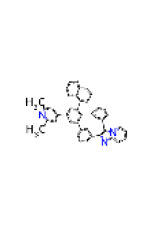 Cc1cc(-c2cc(-c3cccc(-c4nc5ccccn5c4-c4ccccc4)c3)cc(-c3cccc4ccccc34)c2)cc(C)n1